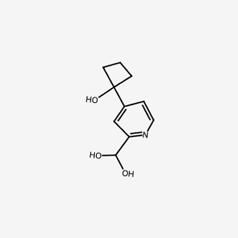 OC(O)c1cc(C2(O)CCC2)ccn1